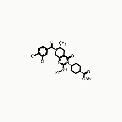 COC(=O)[C@H]1CC[C@H](n2c(NC(C)C)nc3c(c2=O)C[C@@H](C)N(C(=O)c2ccc(Cl)c(Cl)c2)C3)CC1